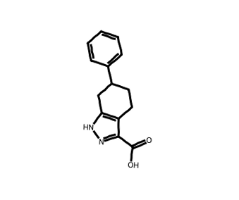 O=C(O)c1n[nH]c2c1CCC(c1ccccc1)C2